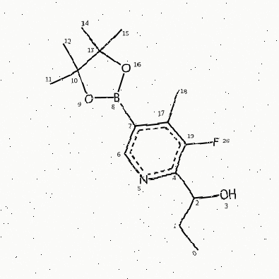 CCC(O)c1ncc(B2OC(C)(C)C(C)(C)O2)c(C)c1F